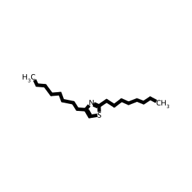 CCCCCCCCc1csc(CCCCCCCC)n1